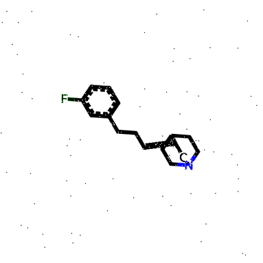 Fc1cccc(CC/C=C2/CN3CCC2CC3)c1